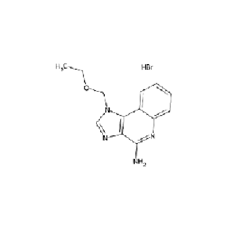 Br.CCOCn1cnc2c(N)nc3ccccc3c21